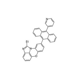 CCc1nc2cccc3c2n1-c1cc(-c2c4ccccc4c(-c4cccnc4)c4ccccc24)ccc1O3